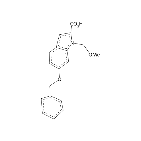 COCn1c(C(=O)O)cc2ccc(OCc3ccccc3)cc21